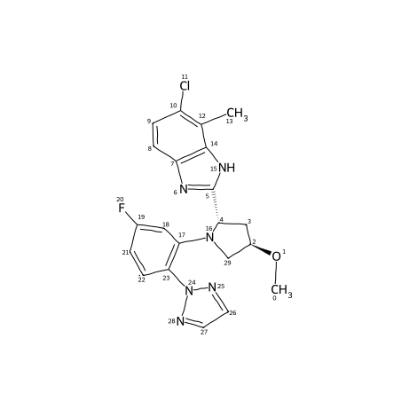 CO[C@@H]1C[C@@H](c2nc3ccc(Cl)c(C)c3[nH]2)N(c2cc(F)c[c]c2-n2nccn2)C1